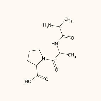 CC(N)C(=O)NC(C)C(=O)N1CCCC1C(=O)O